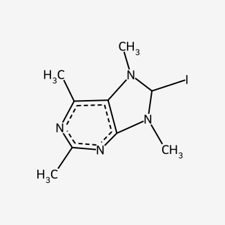 Cc1nc(C)c2c(n1)N(C)C(I)N2C